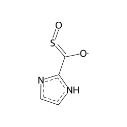 [O]C(=S=O)c1ncc[nH]1